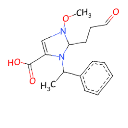 CON1C=C(C(=O)O)N(C(C)c2ccccc2)C1CCC=O